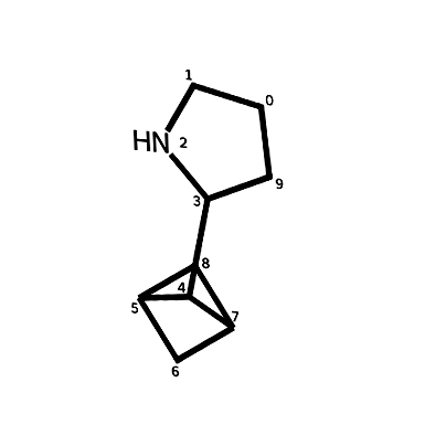 C1CNC(C2C3CC2C3)C1